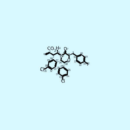 C=CC[C@@H](C(=O)O)N1C(=O)[C@@H](Cc2ccc(F)cc2)O[C@H](c2ccc(Cl)cc2)[C@@H]1c1ccc(Cl)cc1